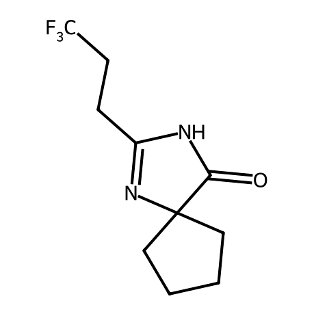 O=C1NC(CCC(F)(F)F)=NC12CCCC2